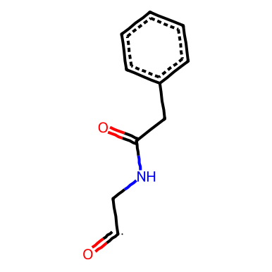 O=[C]CNC(=O)Cc1ccccc1